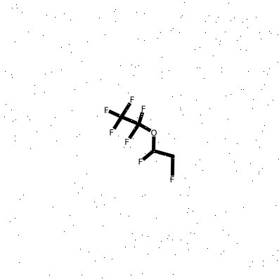 FC[C](F)OC(F)(F)C(F)(F)F